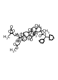 COC(=O)CN[C@H]1CC[C@@]2(C)[C@@H](CC[C@]3(C)[C@@H]2C(=O)C=C2[C@@H]4C[C@@](C)(C(=O)OC(c5ccccc5)c5ccccc5)CC[C@]4(C)CC[C@]23C)[C@]1(C)C(=O)OCc1oc(=O)oc1C